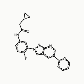 O=C(CC1CC1)Nc1ccc(F)c(-n2cc3cc(-c4ccccn4)cnc3n2)c1